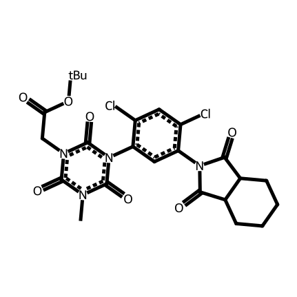 Cn1c(=O)n(CC(=O)OC(C)(C)C)c(=O)n(-c2cc(N3C(=O)C4CCCCC4C3=O)c(Cl)cc2Cl)c1=O